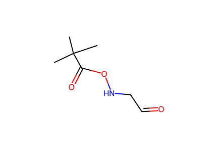 CC(C)(C)C(=O)ONCC=O